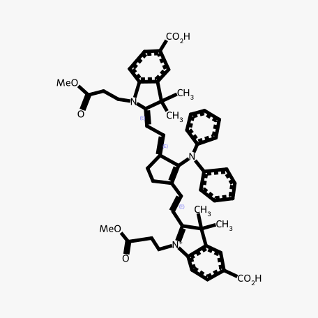 COC(=O)CCN1/C(=C/C=C2\CCC(/C=C/C3=[N+](CCC(=O)OC)c4ccc(C(=O)O)cc4C3(C)C)=C2N(c2ccccc2)c2ccccc2)C(C)(C)c2cc(C(=O)O)ccc21